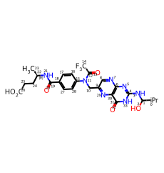 CC(C)C(O)Nc1nc2ncc(CN(C(=O)C(F)(F)F)c3ccc(C(=O)N[C@H](C)CCC(=O)O)cc3)nc2c(=O)[nH]1